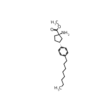 CCCCCCCCc1ccc([C@@H]2CC[C@](N)(C(=O)OC)C2)cc1